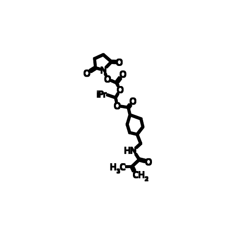 C=C(C)C(=O)NCC1CCC(C(=O)OC(OC(=O)ON2C(=O)CCC2=O)C(C)C)CC1